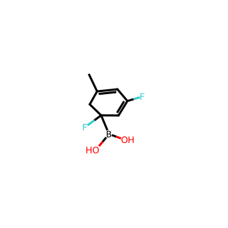 CC1=CC(F)=CC(F)(B(O)O)C1